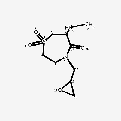 CNC1CS(=O)(=O)CCN(CC2CO2)C1=O